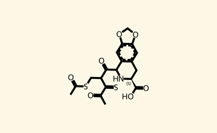 CC(=O)SCC(C(=O)C1N[C@H](C(=O)O)Cc2cc3c(cc21)OCO3)C(=S)C(C)=O